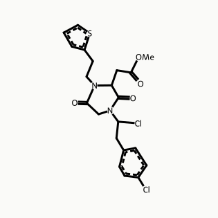 COC(=O)CC1C(=O)N(C(Cl)Cc2ccc(Cl)cc2)CC(=O)N1CCc1cccs1